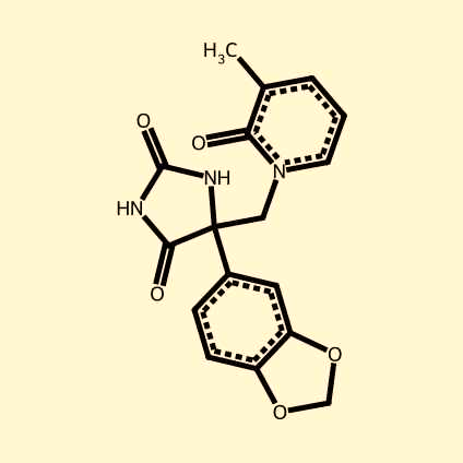 Cc1cccn(CC2(c3ccc4c(c3)OCO4)NC(=O)NC2=O)c1=O